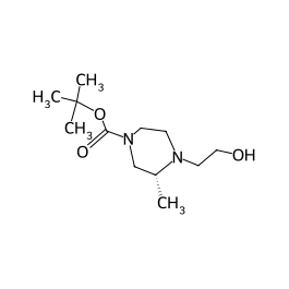 C[C@@H]1CN(C(=O)OC(C)(C)C)CCN1CCO